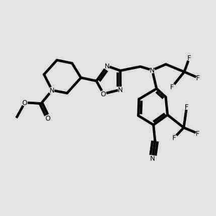 COC(=O)N1CCCC(c2nc(CN(CC(F)(F)F)c3ccc(C#N)c(C(F)(F)F)c3)no2)C1